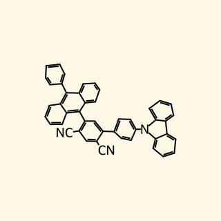 N#Cc1cc(C#N)c(-c2c3ccccc3c(-c3ccccc3)c3ccccc23)cc1-c1ccc(-n2c3ccccc3c3ccccc32)cc1